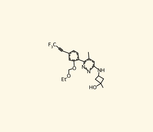 CCOCOc1cc(C#CC(F)(F)F)ccc1-c1nnc(NC2CC(C)(O)C2)cc1C